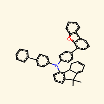 CC1(C)C2=CC=CCC2c2c(N(c3ccc(-c4ccccc4)cc3)c3ccc(-c4cccc5c4oc4ccccc45)cc3)cccc21